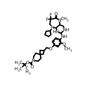 COc1cc(OCC2CC3(CCN(C(=O)OC(C)(C)C)CC3)C2)ccc1NC1NCC2C(N1)N(C1CCCC1)CC(F)(F)C(=O)N2C